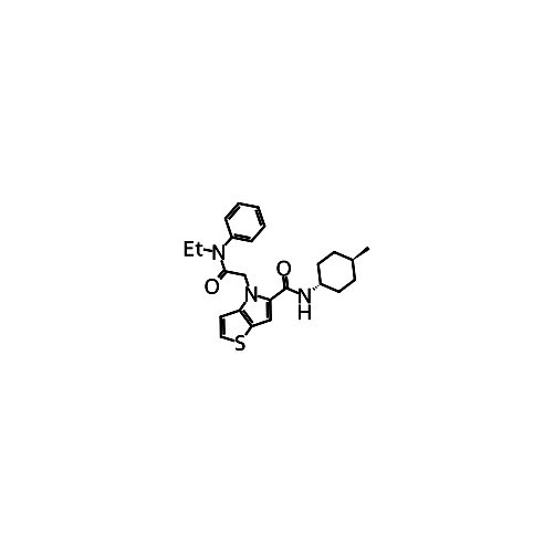 CCN(C(=O)Cn1c(C(=O)N[C@H]2CC[C@H](C)CC2)cc2sccc21)c1ccccc1